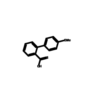 COc1ccc(-c2ccccc2C(O)=S)cc1